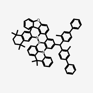 Cc1cc(-c2ccccc2)ccc1C(c1cc2c3c(c1)N1c4ccccc4C(C)(C)c4cccc(c41)B3N(c1cc3c(cc1C)C(C)(C)CCC3(C)C)c1c-2ccc2oc3ccccc3c12)c1ccc(-c2ccccc2)cc1C